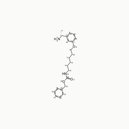 C[C@@H](N)c1cccc(OCCCCCCNC(=O)OCc2ccccc2)c1